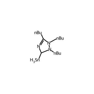 CCCCC1=N[CH]([SnH3])N(CCCC)N1CCCC